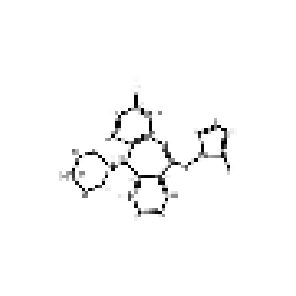 Cc1nccn1CC1=Cc2cc(Cl)ccc2C(N2CCNCC2)c2ncccc21